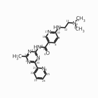 Cc1nc(NC(=O)c2ccc(NCCN(C)C)nc2)nc(-c2ccccn2)n1